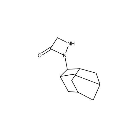 O=C1CNN1C1C2CC3CC(C2)CC1C3